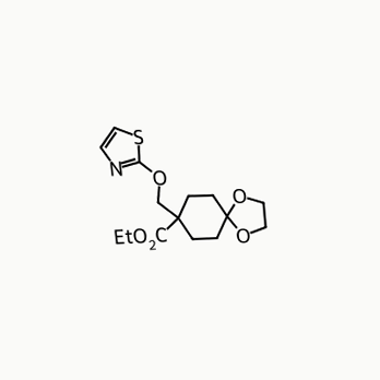 CCOC(=O)C1(COc2nccs2)CCC2(CC1)OCCO2